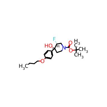 CCCCOc1ccc([C@]2(O)CCN(C(=O)OC(C)(C)C)C[C@H]2F)cc1